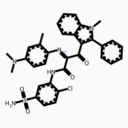 Cc1cc(N(C)C)ccc1/N=C(\C(=O)Nc1cc(S(N)(=O)=O)ccc1Cl)C(=O)c1c(-c2ccccc2)n(C)c2ccccc12